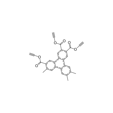 C#COC(=O)c1cc2c(cc1C)c1cc(C)c(C)cc1c1cc(C(=O)OC#C)c(C(=O)OC#C)cc21